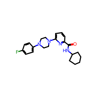 O=C(NC1CCCCC1)c1cccc(N2CCN(c3ccc(F)cc3)CC2)n1